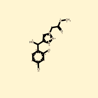 COC(=O)Cn1cc(C(O)c2ccc(Cl)cc2Cl)nn1